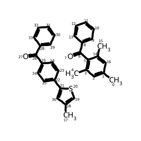 Cc1cc(C)c(C(=O)c2ccccc2)c(C)c1.Cc1csc(-c2ccc(C(=O)c3ccccc3)cc2)c1